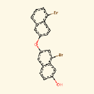 Oc1ccc2cc(Oc3ccc4c(Br)cccc4c3)cc(Br)c2c1